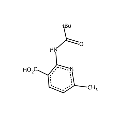 Cc1ccc(C(=O)O)c(NC(=O)C(C)(C)C)n1